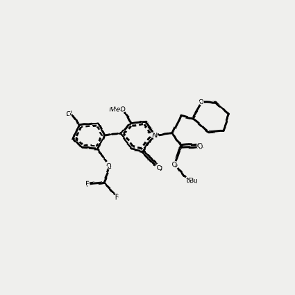 COc1cn(C(CC2CCCCO2)C(=O)OC(C)(C)C)c(=O)cc1-c1cc(Cl)ccc1OC(F)F